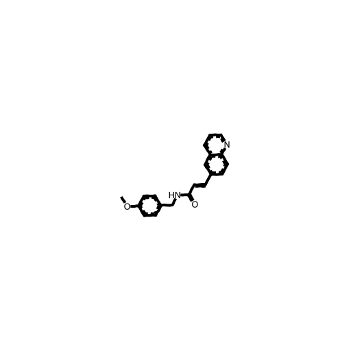 COc1ccc(CNC(=O)C=Cc2ccc3ncccc3c2)cc1